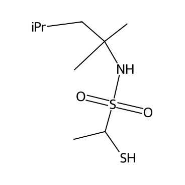 CC(C)CC(C)(C)NS(=O)(=O)C(C)S